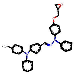 Cc1ccc(N(c2ccccc2)c2ccc(C=NN(c3ccccc3)c3ccc(OCC4CO4)cc3)cc2)cc1